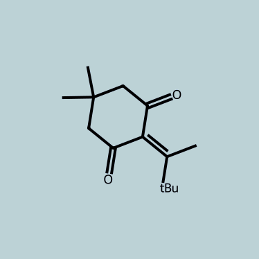 CC(=C1C(=O)CC(C)(C)CC1=O)C(C)(C)C